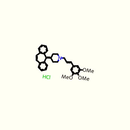 COc1cc(C=CCN2CCC(=C3c4ccccc4C=Cc4ccccc43)CC2)cc(OC)c1OC.Cl